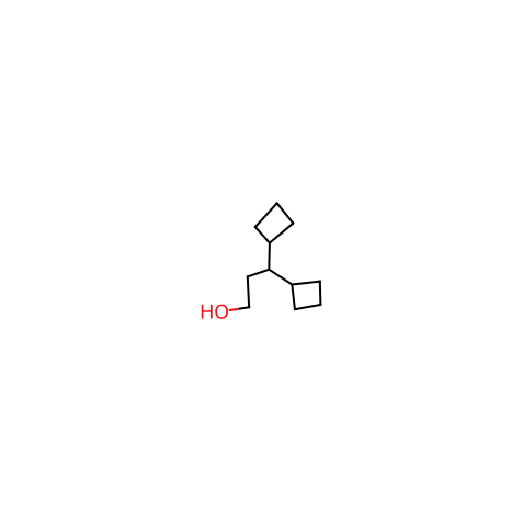 OCCC(C1CCC1)C1CCC1